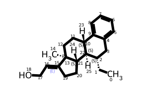 CC[C@H]1Cc2ccccc2[C@H]2CC[C@]3(C)/C(=C/CO)CC[C@H]3[C@H]12